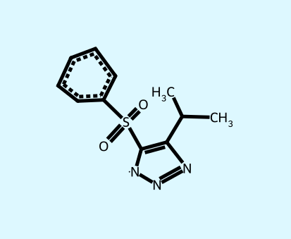 CC(C)C1=C(S(=O)(=O)c2ccccc2)[N]N=N1